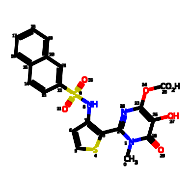 Cn1c(-c2sccc2NS(=O)(=O)c2ccc3ccccc3c2)nc(OC(=O)O)c(O)c1=O